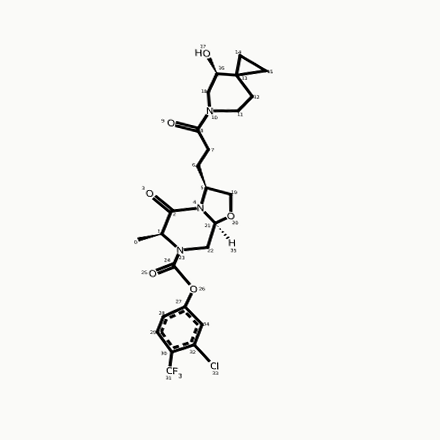 C[C@H]1C(=O)N2[C@@H](CCC(=O)N3CCC4(CC4)[C@H](O)C3)CO[C@H]2CN1C(=O)Oc1ccc(C(F)(F)F)c(Cl)c1